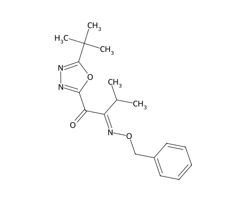 CC(C)/C(=N\OCc1ccccc1)C(=O)c1nnc(C(C)(C)C)o1